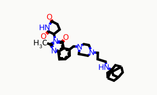 Cc1nc2cccc(CN3CCN(CCCNC45CC6CC(CC(C6)C4)C5)CC3)c2c(=O)n1C1CCC(=O)NC1=O